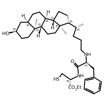 CCOC(=O)[C@H](CS)NC(=O)[C@H](Cc1ccccc1)NCCC[C@@H](C)[C@H]1CC[C@H]2[C@@H]3CC[C@@H]4C[C@H](O)CC[C@]4(C)[C@H]3CC[C@]12C